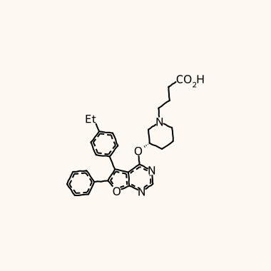 CCc1ccc(-c2c(-c3ccccc3)oc3ncnc(O[C@H]4CCCN(CCCC(=O)O)C4)c23)cc1